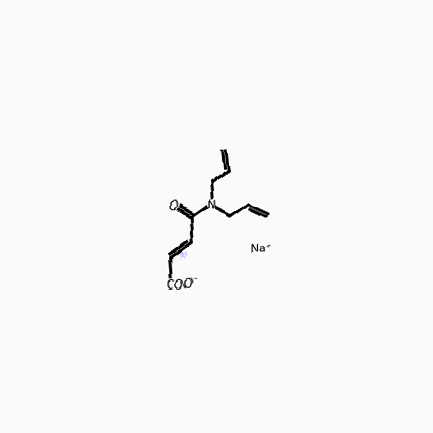 C=CCN(CC=C)C(=O)/C=C/C(=O)[O-].[Na+]